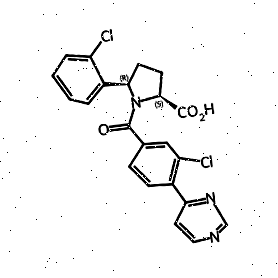 O=C(O)[C@@H]1CC[C@H](c2ccccc2Cl)N1C(=O)c1ccc(-c2ccncn2)c(Cl)c1